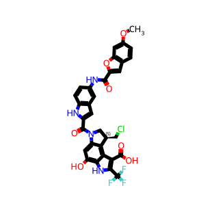 COc1ccc2cc(C(=O)Nc3ccc4[nH]c(C(=O)N5C[C@@H](CCl)c6c5cc(O)c5[nH]c(C(F)(F)F)c(C(=O)O)c65)cc4c3)oc2c1